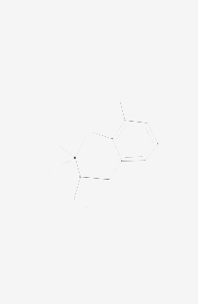 CC1Cc2cccc(C(=O)O)c2OC1(C)C